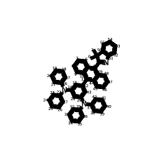 CC1(C)C(c2c3ccccc3c(-c3cc(N(c4ccccc4)c4ccccc4)cc(N(c4ccccc4)c4ccccc4)c3)c3ccccc23)=Nc2ccccc21